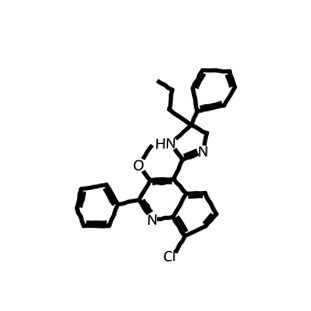 CCCC1(c2ccccc2)CN=C(c2c(OC)c(-c3ccccc3)nc3c(Cl)cccc23)N1